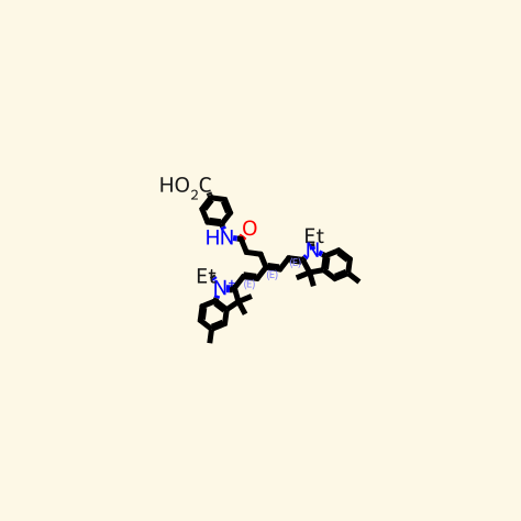 CCN1/C(=C/C=C(/C=C/C2=[N+](CC)c3ccc(C)cc3C2(C)C)CCC(=O)Nc2ccc(C(=O)O)cc2)C(C)(C)c2cc(C)ccc21